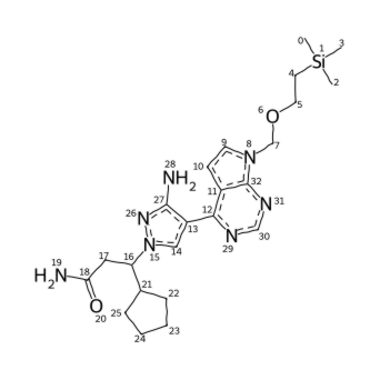 C[Si](C)(C)CCOCn1ccc2c(-c3cn(C(CC(N)=O)C4CCCC4)nc3N)ncnc21